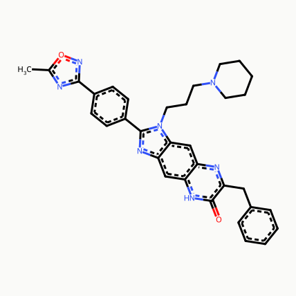 Cc1nc(-c2ccc(-c3nc4cc5[nH]c(=O)c(Cc6ccccc6)nc5cc4n3CCCN3CCCCC3)cc2)no1